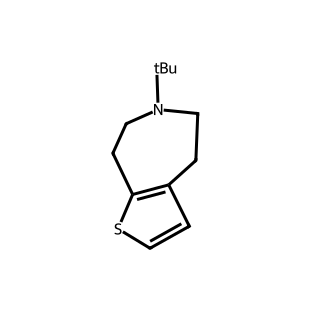 CC(C)(C)N1CCc2ccsc2CC1